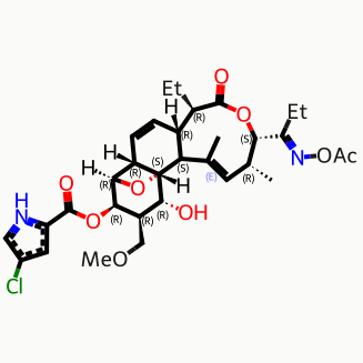 CCC(=NOC(C)=O)[C@H]1OC(=O)[C@H](CC)[C@H]2C=C[C@H]3[C@H]4O[C@]2(/C(C)=C/[C@H]1C)[C@@H]3[C@H](O)[C@@H](COC)[C@H]4OC(=O)c1cc(Cl)c[nH]1